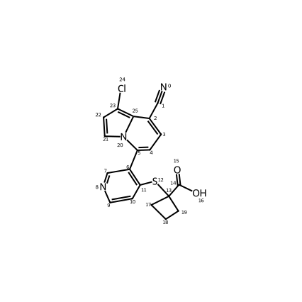 N#Cc1ccc(-c2cnccc2SC2(C(=O)O)CCC2)n2ccc(Cl)c12